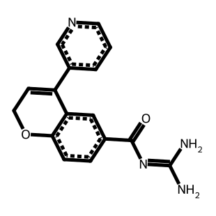 NC(N)=NC(=O)c1ccc2c(c1)C(c1cccnc1)=CCO2